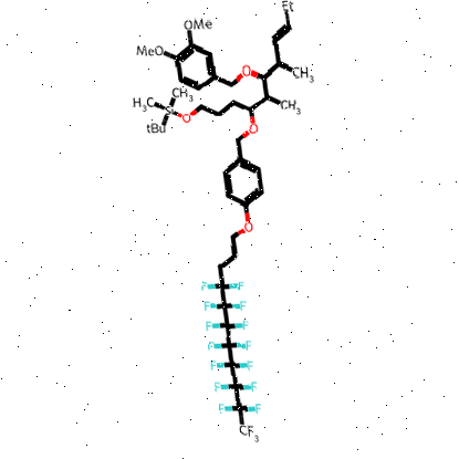 CCC=CC(C)C(OCc1ccc(OC)c(OC)c1)C(C)C(CCCO[Si](C)(C)C(C)(C)C)OCc1ccc(OCCCC(F)(F)C(F)(F)C(F)(F)C(F)(F)C(F)(F)C(F)(F)C(F)(F)C(F)(F)F)cc1